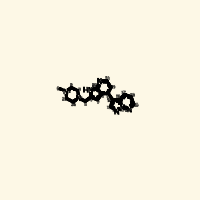 CN1CCN(Cc2cc3c(-c4cnn5ncccc45)ccnc3[nH]2)CC1